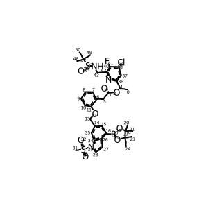 CC(OC(=O)Cc1ccccc1OCc1cc(B2OC(C)(C)C(C)(C)O2)c2ccn(S(C)(=O)=O)c2c1)c1cc(Cl)c(F)c(CN[S@@+]([O-])C(C)(C)C)n1